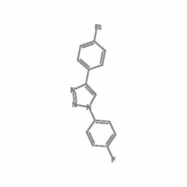 CCc1ccc(-c2cn(-c3ccc(F)cc3)nn2)cc1